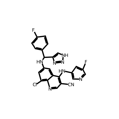 N#Cc1cnc2c(Cl)cc(NC(c3ccc(F)cc3)c3c[nH]nn3)cc2c1Nc1cncc(F)c1